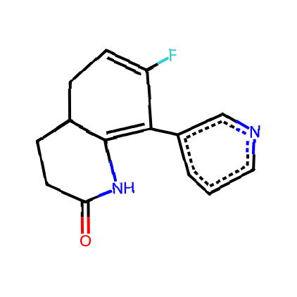 O=C1CCC2CC=C(F)C(c3cccnc3)=C2N1